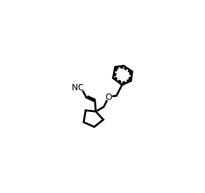 N#CC=CC1(COCc2ccccc2)CCCC1